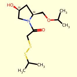 CC(C)OC[C@@H]1C[C@H](O)CN1C(=O)CSSC(C)C